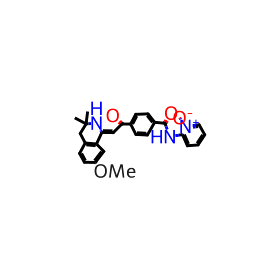 COc1ccc2c(c1)C(=CC(=O)c1ccc(C(=O)Nc3cccc[n+]3[O-])cc1)NC(C)(C)C2